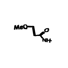 CO/C=C/C([NH])=O